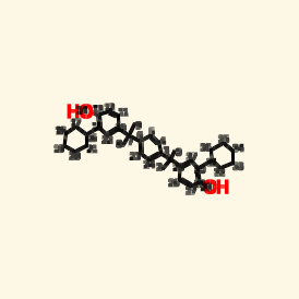 CC(C)(c1ccc(C(C)(C)c2ccc(O)c(C3CCCCC3)c2)cc1)c1ccc(O)c(C2CCCCC2)c1